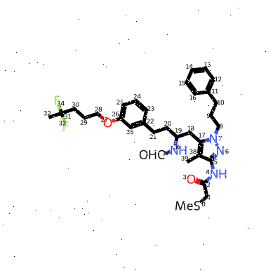 CSCC(=O)Nc1nn(CCCc2ccccc2)c(CC(CCc2cccc(OCCCC(C)(F)F)c2)NC=O)c1C